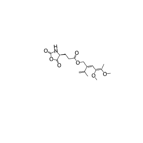 C=C(C)/C(=C\C(OC)=C(/C)OC)COC(=O)CC[C@@H]1NC(=O)OC1=O